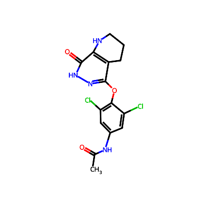 CC(=O)Nc1cc(Cl)c(Oc2n[nH]c(=O)c3c2CCCN3)c(Cl)c1